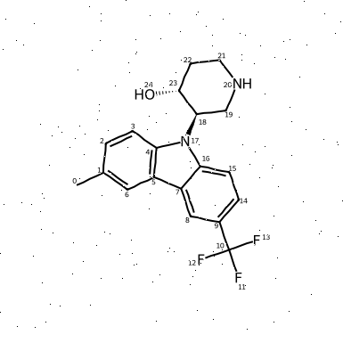 Cc1ccc2c(c1)c1cc(C(F)(F)F)ccc1n2[C@@H]1CNCC[C@H]1O